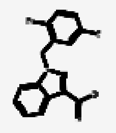 O=C(O)c1nn(Cc2cc(Cl)ccc2Cl)c2ccccc12